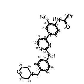 CC(C)C(=O)Nc1ccc(-c2ccnc(Nc3ccc(CN4CCOCC4)cc3)n2)cc1C#N